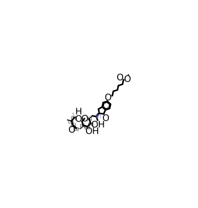 COC(=O)CCCCCOc1ccc2c(c1)C/C(=C(/C)C[C@@H]1OC[C@H](C[C@@H]3O[C@H]3[C@@H](C)[C@H](C)O)[C@@H](O)[C@H]1O)C2=O